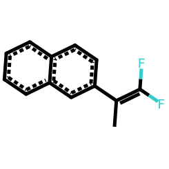 CC(=C(F)F)c1ccc2ccccc2c1